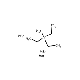 Br.Br.Br.CC[N+](C)(CC)CC